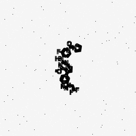 COc1nc(N[C@H]2CCN(C(=O)N3CCCC3)C[C@H]2F)nn2ccc(-c3ccc4nnn(CC(F)F)c4c3)c12